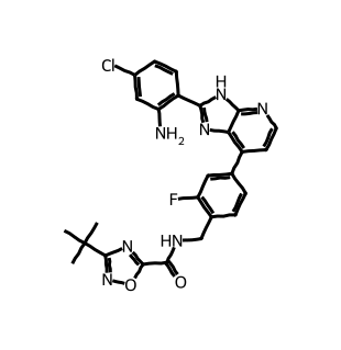 CC(C)(C)c1noc(C(=O)NCc2ccc(-c3ccnc4[nH]c(-c5ccc(Cl)cc5N)nc34)cc2F)n1